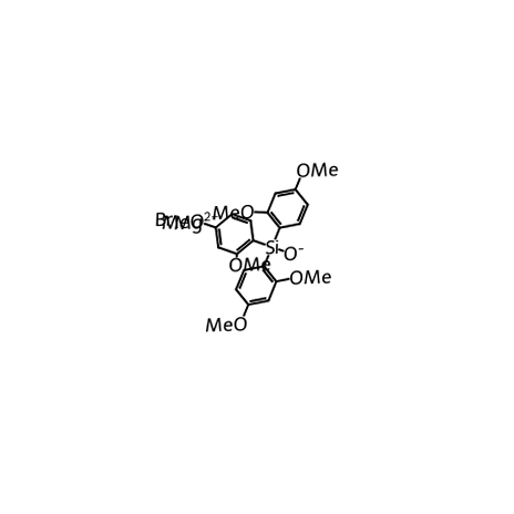 COc1ccc([Si]([O-])(c2ccc(OC)cc2OC)c2ccc(OC)cc2OC)c(OC)c1.[Br-].[Mg+2]